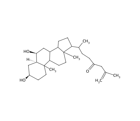 C=C(C)CC(=O)CCC(C)C1CCC2C3C[C@H](O)[C@@H]4C[C@H](O)CCC4(C)C3CCC12C